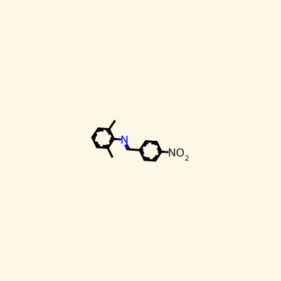 Cc1cccc(C)c1N=Cc1ccc([N+](=O)[O-])cc1